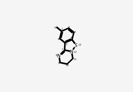 Cc1ccc2c(c1)C1=NCCCN1S2